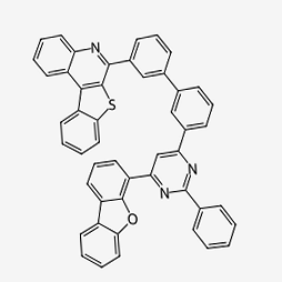 c1ccc(-c2nc(-c3cccc(-c4cccc(-c5nc6ccccc6c6c5sc5ccccc56)c4)c3)cc(-c3cccc4c3oc3ccccc34)n2)cc1